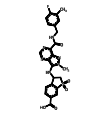 Cc1cc(CNC(=O)c2ncnc3c(NC4CS(=O)(=O)c5cc(C(=O)O)ccc54)n(C)nc23)ccc1F